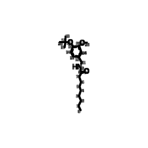 CCCCCCCCC(=O)NCc1ccc(OC(C)(C)C)c(OC)c1